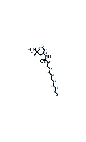 CCCCCCCCCCCC(=O)NC(CC)CC(C)(C)N